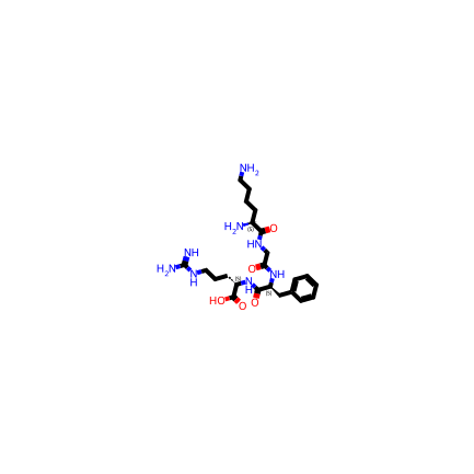 N=C(N)NCCC[C@H](NC(=O)[C@H](Cc1ccccc1)NC(=O)CNC(=O)[C@@H](N)CCCCN)C(=O)O